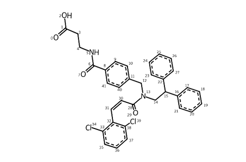 O=C(O)CCNC(=O)c1ccc(CN(CC(c2ccccc2)c2ccccc2)C(=O)C=Cc2c(Cl)cccc2Cl)cc1